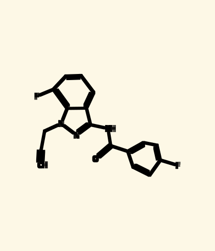 C#CCn1nc(NC(=O)c2ccc(F)cc2)c2cccc(F)c21